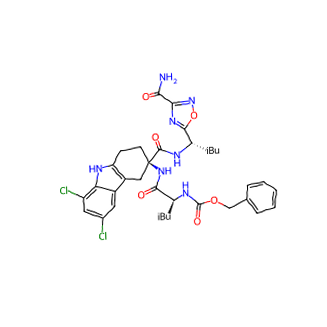 CCC(C)[C@H](NC(=O)OCc1ccccc1)C(=O)N[C@]1(C(=O)N[C@H](c2nc(C(N)=O)no2)C(C)CC)CCc2[nH]c3c(Cl)cc(Cl)cc3c2C1